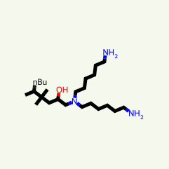 CCCCC(C)C(C)(C)CC(O)CN(CCCCCCN)CCCCCCN